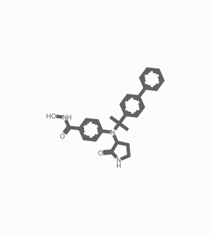 CC(C)(c1ccc(-c2ccccc2)cc1)N(c1ccc(C(=O)NO)cc1)C1CCNC1=O